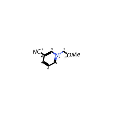 COC[n+]1cccc(C#N)c1